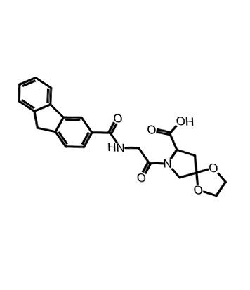 O=C(NCC(=O)N1CC2(CC1C(=O)O)OCCO2)c1ccc2c(c1)-c1ccccc1C2